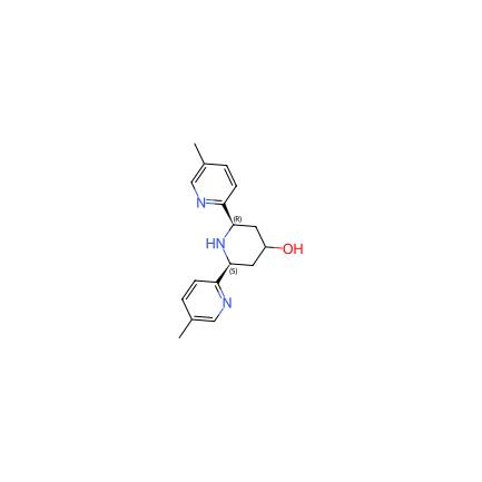 Cc1ccc([C@@H]2CC(O)C[C@H](c3ccc(C)cn3)N2)nc1